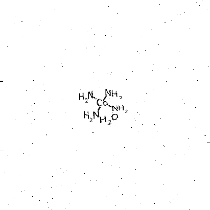 O.[NH2][Co]([NH2])([NH2])[NH2]